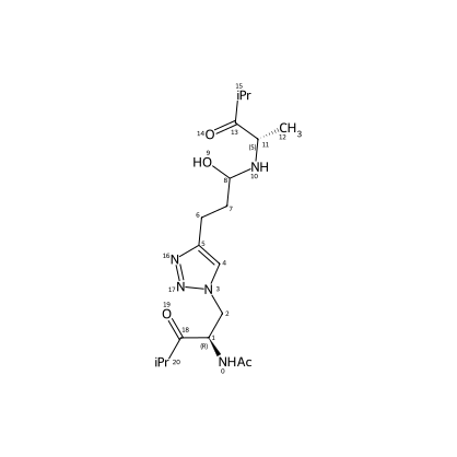 CC(=O)N[C@H](Cn1cc(CCC(O)N[C@@H](C)C(=O)C(C)C)nn1)C(=O)C(C)C